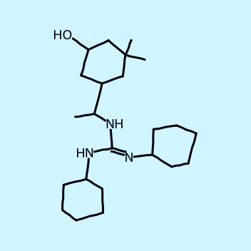 CC(NC(=NC1CCCCC1)NC1CCCCC1)C1CC(O)CC(C)(C)C1